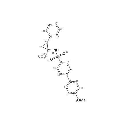 COc1ccc(-c2ccc(S(=O)(=O)NC3(C(=O)O)CC3c3ccccc3)cc2)cc1